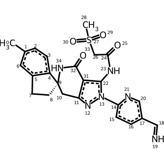 Cc1ccc2c(c1)CC[C@]21Cc2nn(-c3ccc(C=N)cn3)c(NC(=O)CS(C)(=O)=O)c2C(=O)N1